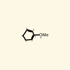 COC1=C[CH]CC=C1